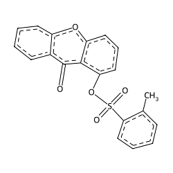 Cc1ccccc1S(=O)(=O)Oc1cccc2oc3ccccc3c(=O)c12